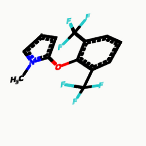 Cn1c[c]cc1Oc1c(C(F)(F)F)cccc1C(F)(F)F